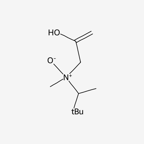 C=C(O)C[N+](C)([O-])C(C)C(C)(C)C